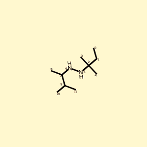 CCC(C)(C)NNC(C)C(C)C